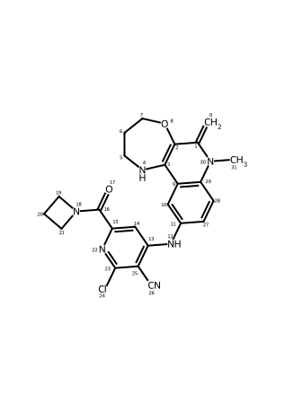 C=C1C2=C(NCCCO2)c2cc(Nc3cc(C(=O)N4CCC4)nc(Cl)c3C#N)ccc2N1C